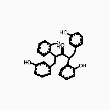 O=C(C(Cc1cccc(O)c1)c1ccccc1O)C(Cc1cccc(O)c1)c1ccccc1O